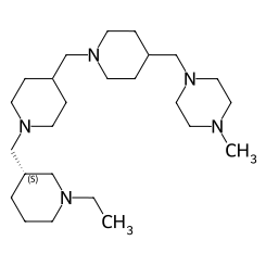 CCN1CCC[C@H](CN2CCC(CN3CCC(CN4CCN(C)CC4)CC3)CC2)C1